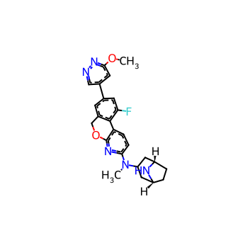 COc1cc(-c2cc(F)c3c(c2)COc2nc(N(C)C4C[C@H]5CC[C@@H](C4)N5)ccc2-3)cnn1